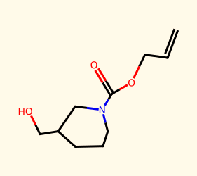 C=CCOC(=O)N1CCCC(CO)C1